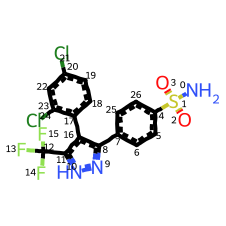 NS(=O)(=O)c1ccc(-c2n[nH]c(C(F)(F)F)c2-c2ccc(Cl)cc2Cl)cc1